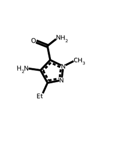 CCc1nn(C)c(C(N)=O)c1N